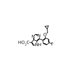 O=C(O)c1c[nH]c2c(-c3ccc(F)cc3OCC3CC3)ncnc12